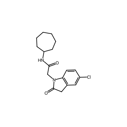 O=C(CN1C(=O)Cc2cc(Cl)ccc21)NC1CCCCCC1